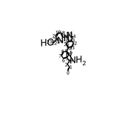 C=CCC(N)c1cccc(-c2ccc3cnn(-c4cccc(CO)n4)c3c2)n1